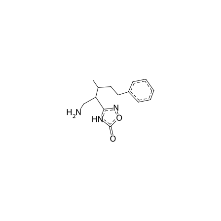 CC(CCc1ccccc1)C(CN)c1noc(=O)[nH]1